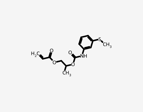 C=CC(=O)OCC(C)OC(=O)Nc1cccc(SC)c1